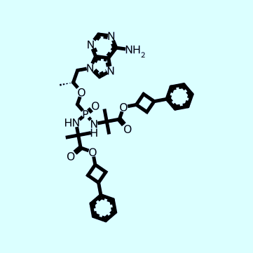 C[C@H](Cn1cnc2c(N)ncnc21)OCP(=O)(NC(C)(C)C(=O)OC1CC(c2ccccc2)C1)NC(C)(C)C(=O)OC1CC(c2ccccc2)C1